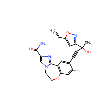 C=Cc1cc(C(C)(O)C#Cc2cc3c(cc2F)OCCn2cc(C(N)=O)nc2-3)no1